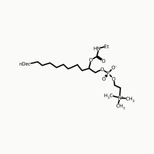 CCCCCCCCCCCCCCCCCCC(COP(=O)([O-])OCC[N+](C)(C)C)OC(=O)NCC